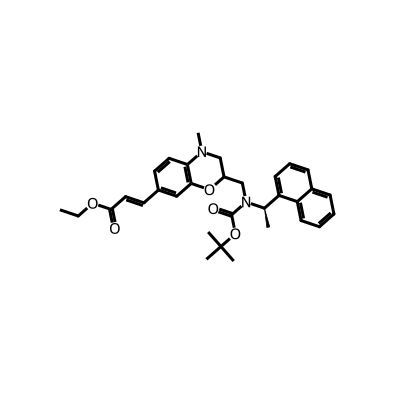 CCOC(=O)/C=C/c1ccc2c(c1)OC(CN(C(=O)OC(C)(C)C)[C@H](C)c1cccc3ccccc13)CN2C